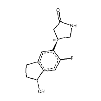 O=C1C[C@H](c2cc3c(cc2F)C(O)CC3)CN1